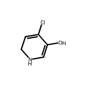 OC1=[C]NCC=C1Cl